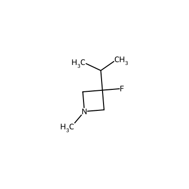 CC(C)C1(F)CN(C)C1